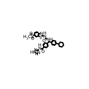 CS(=O)(=O)c1ccc2nc(NC(=O)NC(c3ccc(C(=O)Nc4nn[nH]n4)cc3)c3ccc(C4CCCCC4)cc3)sc2c1